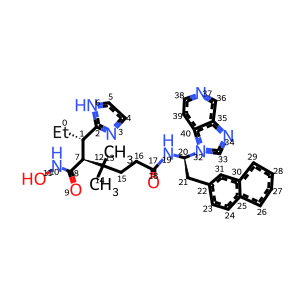 CC[C@H](c1ncc[nH]1)[C@H](C(=O)NO)C(C)(C)CCC(=O)N[C@H](Cc1ccc2ccccc2c1)n1cnc2cnccc21